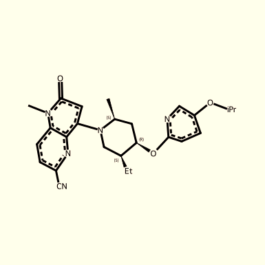 CC[C@H]1CN(c2cc(=O)n(C)c3ccc(C#N)nc23)[C@@H](C)C[C@H]1Oc1ccc(OC(C)C)cn1